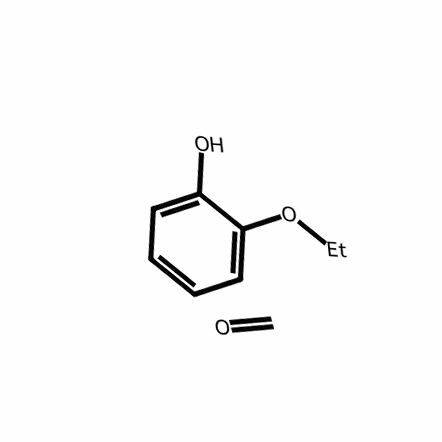 C=O.CCOc1ccccc1O